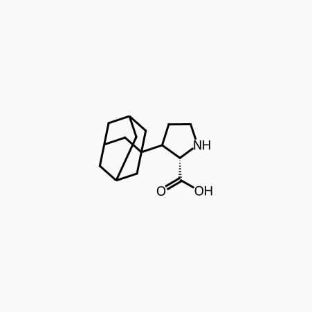 O=C(O)[C@H]1NCCC1C12CC3CC(CC(C3)C1)C2